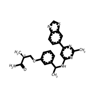 Cc1nc(NC(C)c2cccc(OC[C@H](C)C(N)=O)c2)cc(-c2ccc3ncsc3c2)n1